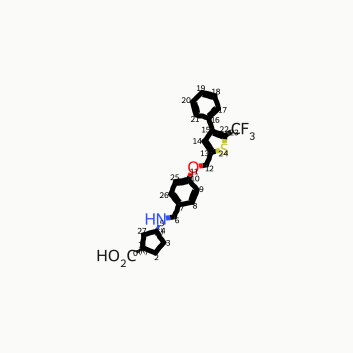 O=C(O)[C@@H]1CC[C@H](NCc2ccc(OCc3cc(-c4ccccc4)c(C(F)(F)F)s3)cc2)C1